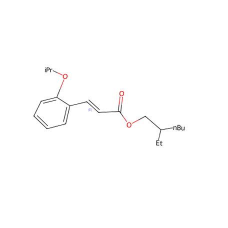 CCCCC(CC)COC(=O)/C=C/c1ccccc1OC(C)C